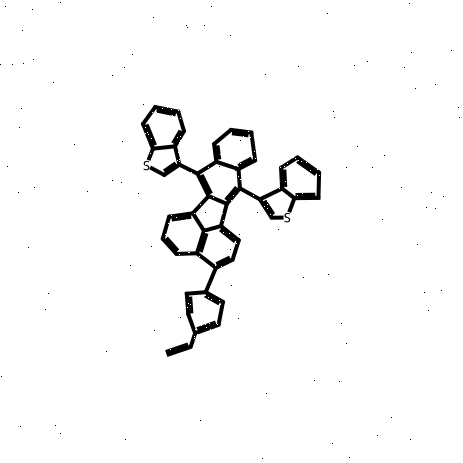 C=Cc1ccc(-c2ccc3c4c(cccc24)-c2c-3c(-c3csc4ccccc34)c3ccccc3c2-c2csc3ccccc23)cc1